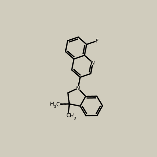 CC1(C)CN(c2cnc3c(F)cccc3c2)c2ccccc21